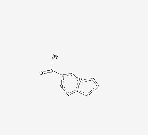 CC(C)C(=O)c1cn2cccc2cn1